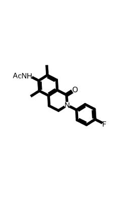 CC(=O)Nc1c(C)cc2c(c1C)CCN(c1ccc(F)cc1)C2=O